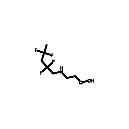 CC(F)(F)CC(F)(F)CNCCOO